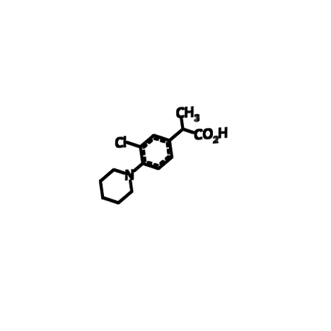 CC(C(=O)O)c1ccc(N2CCCCC2)c(Cl)c1